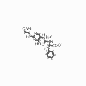 COCCNc1ncc(NC(=O)N[C@H](Nc2ccccc2)C(=O)[O-])c(O)n1.[Na+]